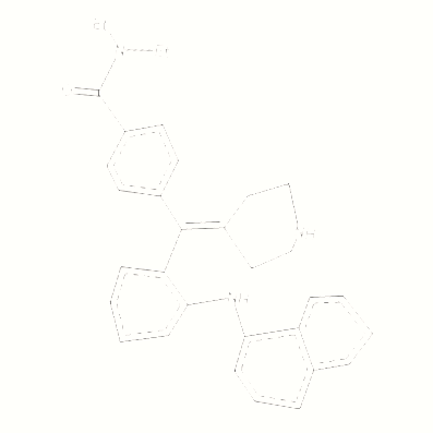 CCN(CC)C(=O)c1ccc(C(=C2CCNCC2)c2ccccc2Nc2cccc3ccccc23)cc1